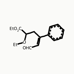 CCOC(=O)C(CC(=CC=O)c1ccccc1)OCC